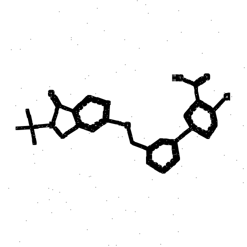 CC(C)(C)N1Cc2cc(OCc3cccc(-c4ccc(Cl)c(C(=O)O)c4)c3)ccc2C1=O